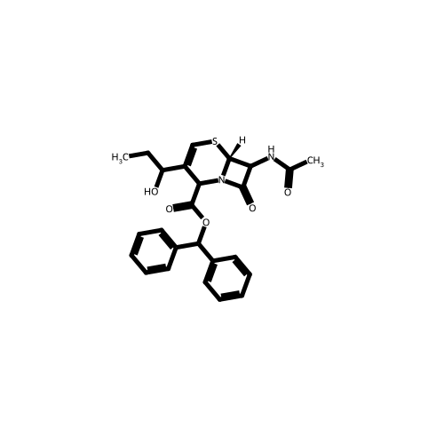 CCC(O)C1=CS[C@@H]2C(NC(C)=O)C(=O)N2C1C(=O)OC(c1ccccc1)c1ccccc1